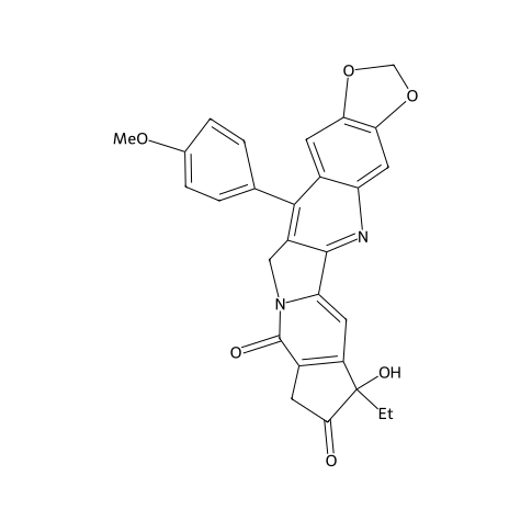 CCC1(O)C(=O)Cc2c1cc1n(c2=O)Cc2c-1nc1cc3c(cc1c2-c1ccc(OC)cc1)OCO3